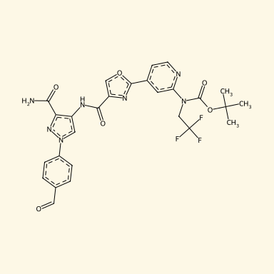 CC(C)(C)OC(=O)N(CC(F)(F)F)c1cc(-c2nc(C(=O)Nc3cn(-c4ccc(C=O)cc4)nc3C(N)=O)co2)ccn1